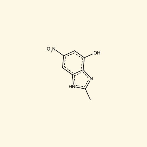 Cc1nc2c(O)cc([N+](=O)[O-])cc2[nH]1